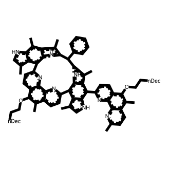 CCCCCCCCCCCCOc1c(C)c2ccc3nc2c2nc(ccc12)-c1c2[nH]c(c(C)c2c(C)c2[nH]cc(C)c12)C(c1ccccc1)c1[nH]c2c-3c3c(C)c[nH]c3c(-c3ccc4c(OCCCCCCCCCCCC)c(C)c5ccc(C)nc5c4n3)c2c1C